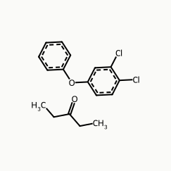 CCC(=O)CC.Clc1ccc(Oc2ccccc2)cc1Cl